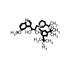 CCC1CCC[N+](Cc2cc(C(C)(C)C)cc(C(C)(C)C)c2)(CC(C)C(O)c2ccnc3ccc(OC)cc23)C1